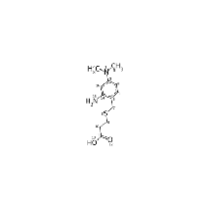 CN(C)c1ccc(CSCCC(=O)O)c(N)c1